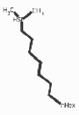 CCCCCCCCCCCCC[SiH](C)C